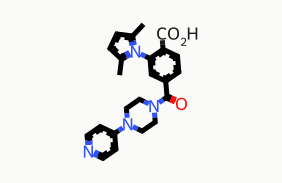 Cc1ccc(C)n1-c1cc(C(=O)N2CCN(c3ccncc3)CC2)ccc1C(=O)O